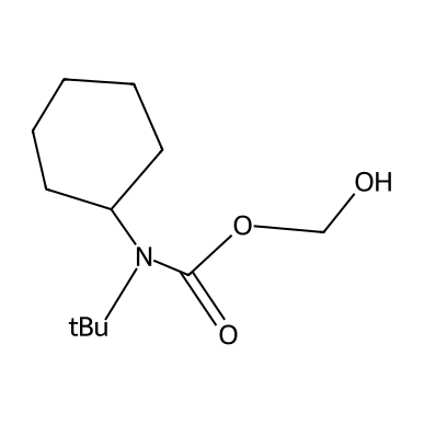 CC(C)(C)N(C(=O)OCO)C1CCCCC1